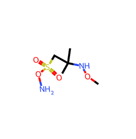 CONC(C)(C)CS(=O)(=O)ON